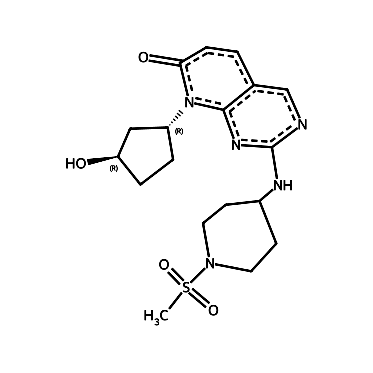 CS(=O)(=O)N1CCC(Nc2ncc3ccc(=O)n([C@@H]4CC[C@@H](O)C4)c3n2)CC1